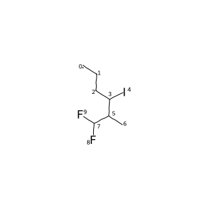 [CH2]CCC(I)C(C)C(F)F